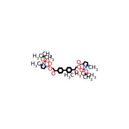 Cc1cc(-c2ccc(C(=O)COC(=O)[C@@H]3CC[C@H](C)N3C(=O)OC(C)(C)C)cc2)ccc1C(=O)COC(=O)[C@@H]1CC[C@H](C)N1C(=O)OC(C)(C)C